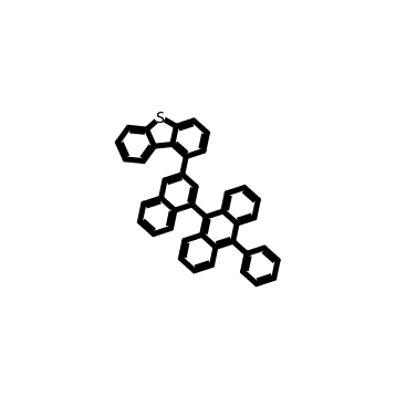 c1ccc(-c2c3ccccc3c(-c3cc(-c4cccc5sc6ccccc6c45)cc4ccccc34)c3ccccc23)cc1